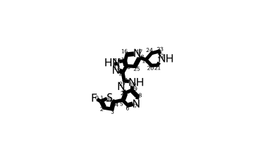 Fc1ccc(-c2cncc3[nH]c(-c4n[nH]c5cnc(C6CCNCC6)cc45)nc23)s1